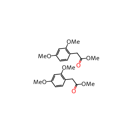 COC(=O)Cc1ccc(OC)cc1OC.COC(=O)Cc1ccc(OC)cc1OC